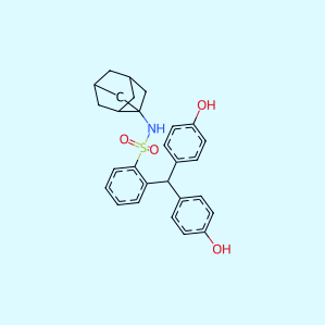 O=S(=O)(NC12CC3CC(CC1C3)C2)c1ccccc1C(c1ccc(O)cc1)c1ccc(O)cc1